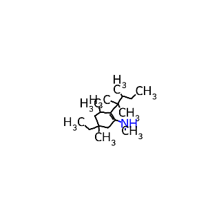 CCC(C)C(C)(C)C1=C(NC)CC(C)(CC)CC1C